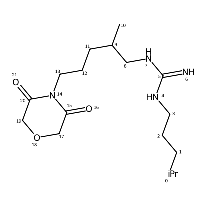 CC(C)CCCNC(=N)NCC(C)CCCN1C(=O)COCC1=O